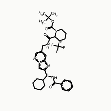 CC(C)(C)OC(=O)N1CCC[C@@H](C(F)(F)F)C1C(=O)NCc1cnn2cc([C@@H](NC(=O)c3ccccc3)C3CCCCC3)nc2c1